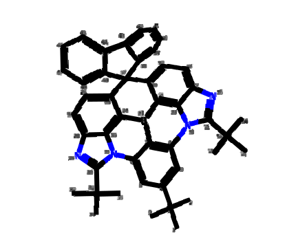 CC(C)(C)c1cc2c3c(c1)-n1c(C(C)(C)C)nc4ccc5c(c41)B3c1c(ccc3nc(C(C)(C)C)n-2c13)C51c2ccccc2-c2ccccc21